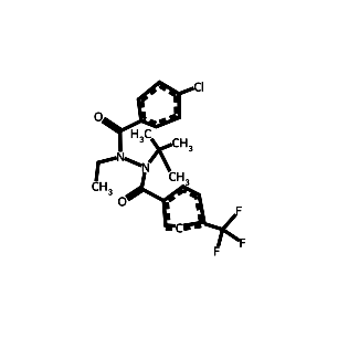 CCN(C(=O)c1ccc(Cl)cc1)N(C(=O)c1ccc(C(F)(F)F)cc1)C(C)(C)C